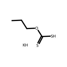 CCCOC(=S)S.[KH]